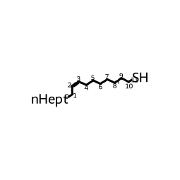 CCCCCCCC/C=C\CCCC[CH]CCS